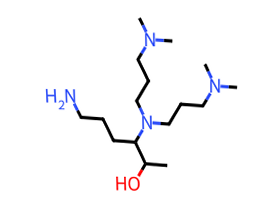 CC(O)C(CCCN)N(CCCN(C)C)CCCN(C)C